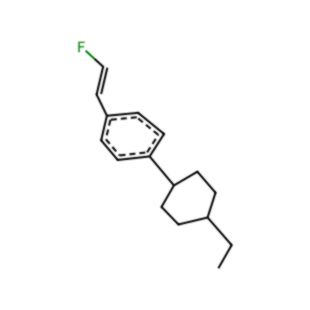 CCC1CCC(c2ccc(C=CF)cc2)CC1